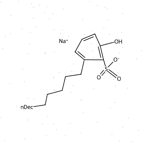 CCCCCCCCCCCCCCCc1cccc(O)c1S(=O)(=O)[O-].[Na+]